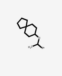 CC(C)C(C)OC1CCC2(CCCC2)CC1